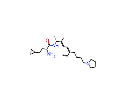 C=C/C(=C\C=C(/C)[C@@H](C)NC(=O)[C@@H](N)CCC1CC1)CCCCN1CCCC1